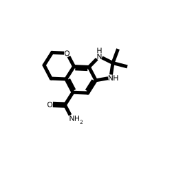 CC1(C)Nc2cc(C(N)=O)c3c(c2N1)OCCC3